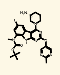 Cc1ncc(Oc2nc(N3CCC[C@@H](N)C3)c3c(n2)[nH]c2c(N(C)C(=O)OC(C)(C)C)cc(F)cc23)cn1